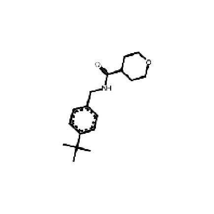 CC(C)(C)c1ccc(CNC(=O)C2CCOCC2)cc1